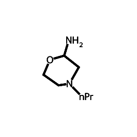 CCCN1CCOC(N)C1